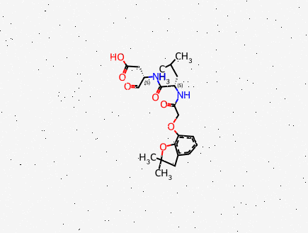 CC(C)C[C@H](NC(=O)COc1cccc2c1OC(C)(C)C2)C(=O)N[C@H](C=O)CC(=O)O